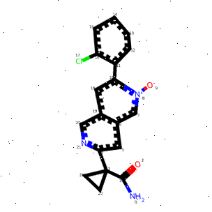 NC(=O)C1(c2cc3c[n+]([O-])c(-c4ccccc4Cl)cc3cn2)CC1